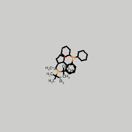 C[C@H](C1CCCC1c1ccccc1P(C1CCCCC1)C1CCCCC1)P(C(C)(C)C)C(C)(C)C